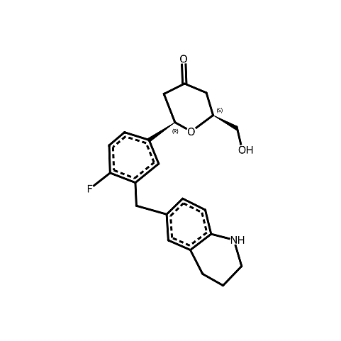 O=C1C[C@@H](CO)O[C@@H](c2ccc(F)c(Cc3ccc4c(c3)CCCN4)c2)C1